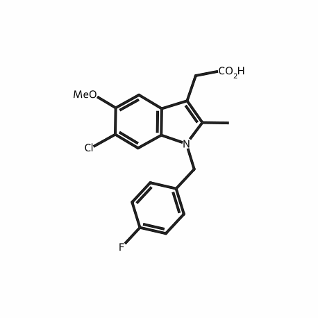 COc1cc2c(CC(=O)O)c(C)n(Cc3ccc(F)cc3)c2cc1Cl